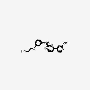 OCCOc1cccc(Nc2nccc(-c3ccnc(O)c3)n2)c1